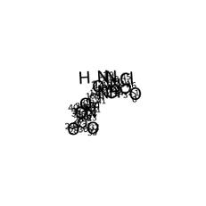 COc1cc(C)c(-n2cnc(N)c(C(=O)N[C@H]3CCC[C@@H](CN(Cc4ccc(OC)cc4OC)C(=O)OC(C)(C)C)C3)c2=O)c(Cl)c1